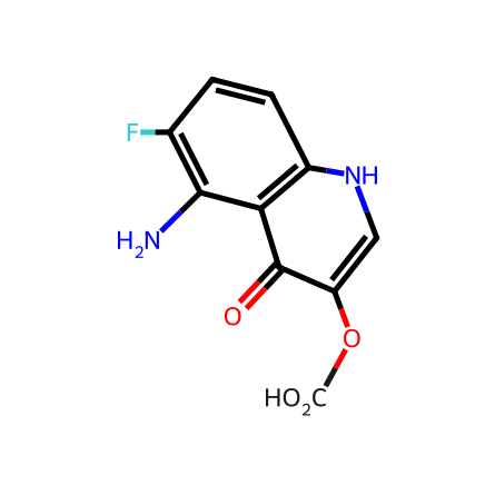 Nc1c(F)ccc2[nH]cc(OC(=O)O)c(=O)c12